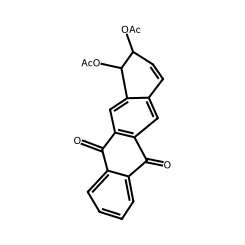 CC(=O)OC1C=Cc2cc3c(cc2C1OC(C)=O)C(=O)c1ccccc1C3=O